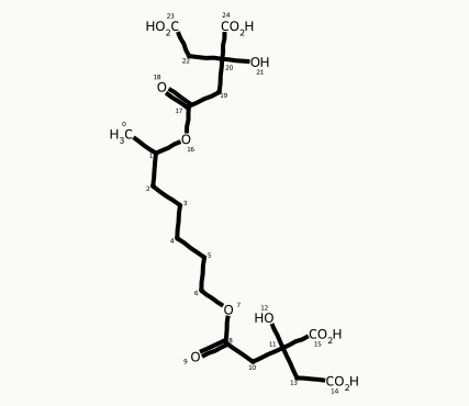 CC(CCCCCOC(=O)CC(O)(CC(=O)O)C(=O)O)OC(=O)CC(O)(CC(=O)O)C(=O)O